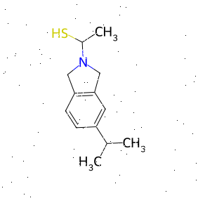 CC(C)c1ccc2c(c1)CN(C(C)S)C2